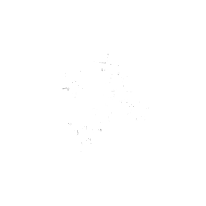 Cc1cc(C#N)nc(NC2CCC(Oc3nc(N4CCOCC4)cc4ncc(NS(C)(=O)=O)cc34)CC2)n1.O=C(O)C(F)(F)F